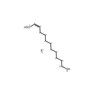 CCCCCCCC/C=C\CCCCCCCC[N-]O.[K+]